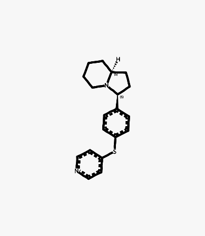 c1cc(Sc2ccc([C@@H]3CC[C@@H]4CCCCN43)cc2)ccn1